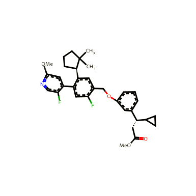 COC(=O)C[C@H](c1cccc(OCc2cc([C@H]3CCCC3(C)C)c(-c3cc(OC)ncc3F)cc2F)c1)C1CC1